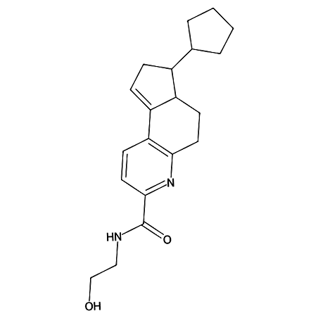 O=C(NCCO)c1ccc2c(n1)CCC1C2=CCC1C1CCCC1